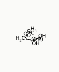 C=C(CCCC(O)(O)C=CC(=O)O)C(=O)OC(C)=O